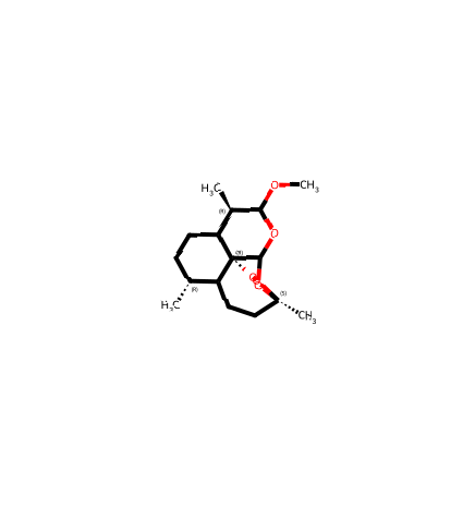 COC1OC2O[C@]3(C)CCC4[C@H](C)CCC([C@H]1C)[C@@]24OO3